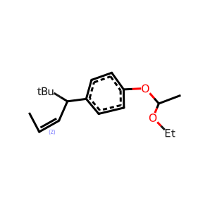 C/C=C\C(c1ccc(OC(C)OCC)cc1)C(C)(C)C